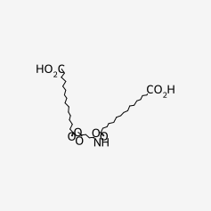 N=C(CCC(=O)OC(=O)CCCCCCCCCCCCCCC(=O)O)OC(=O)CCCCCCCCCCCCCCC(=O)O